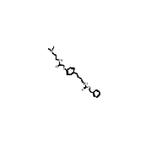 CN(C)CCCNC(=O)COc1ccc(CCCCNC(=O)OCc2ccccc2)cc1